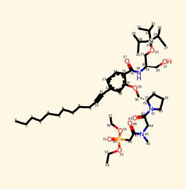 CCCCCCCCCCC#Cc1ccc(C(=O)N[C@H](CO)CO[Si](C(C)C)(C(C)C)C(C)C)c(OC[C@@H]2CCCN2C(=O)CN(C)C(=O)CP(=O)(OCC)OCC)c1